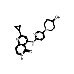 O=c1[nH]ccc2nc(C3CC3)cc(Nc3ccc(N4CCC(O)CC4)cn3)c12